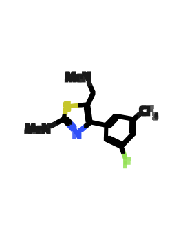 CNCc1sc(NC)nc1-c1cc(F)cc(C(F)(F)F)c1